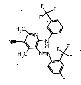 Cc1nc(Nc2cccc(C(F)(F)F)c2)c(N=Nc2ccc(F)cc2C(F)(F)F)c(C)c1C#N